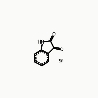 O=C1Nc2ccccc2C1=O.[Si]